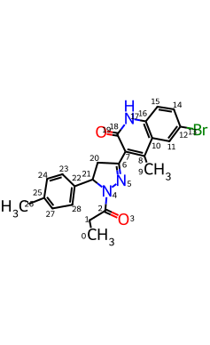 CCC(=O)N1N=C(c2c(C)c3cc(Br)ccc3[nH]c2=O)CC1c1ccc(C)cc1